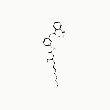 CCCCCC=CCC(CC(=O)N(F)c1cccc(Cc2n[nH]c(=O)c3ccccc23)c1)C(=O)O